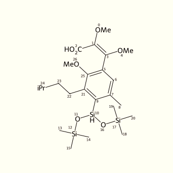 COC(C(=O)O)=C(OC)c1cc(C)c([SiH](O[Si](C)(C)C)O[Si](C)(C)C)c(CCC(C)C)c1OC